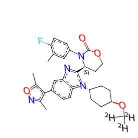 [2H]C([2H])([2H])O[C@H]1CC[C@H](n2c([C@@H]3CCOC(=O)N3c3ccc(F)c(C)c3)nc3cc(-c4c(C)noc4C)ccc32)CC1